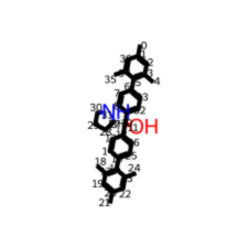 Cc1cc(C)c(-c2ccc(C(O)(c3ccc(-c4c(C)cc(C)cc4C)cc3)[C@@H]3CCCN3)cc2)c(C)c1